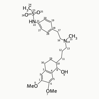 COc1cc2c(cc1OC)C(O)C(CCCN(C)CCc1ccc(NS(C)(=O)=O)cc1)CC2